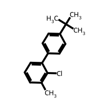 Cc1cccc(-c2ccc(C(C)(C)C)cc2)c1Cl